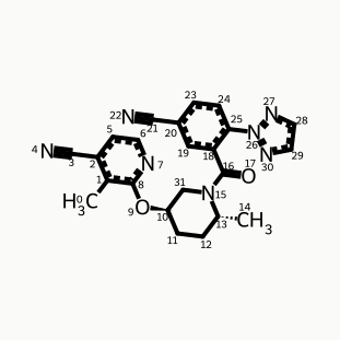 Cc1c(C#N)ccnc1O[C@@H]1CC[C@@H](C)N(C(=O)c2cc(C#N)ccc2-n2nccn2)C1